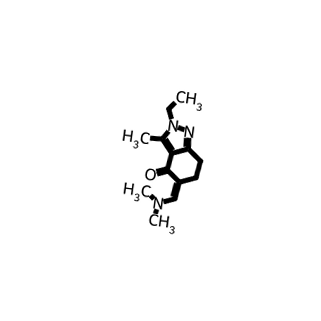 CCn1nc2c(c1C)C(=O)/C(=C\N(C)C)CC2